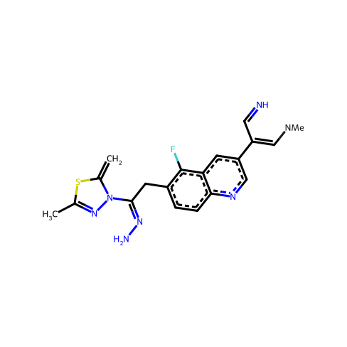 C=C1SC(C)=NN1/C(Cc1ccc2ncc(/C(C=N)=C/NC)cc2c1F)=N\N